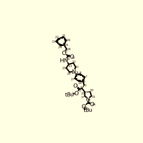 CC(C)(C)OC(=O)[C@@H](Cc1ccc(N2CCC(NC(=O)OCc3ccccc3)CC2)cc1)[C@H]1CCN(C(=O)OC(C)(C)C)C1